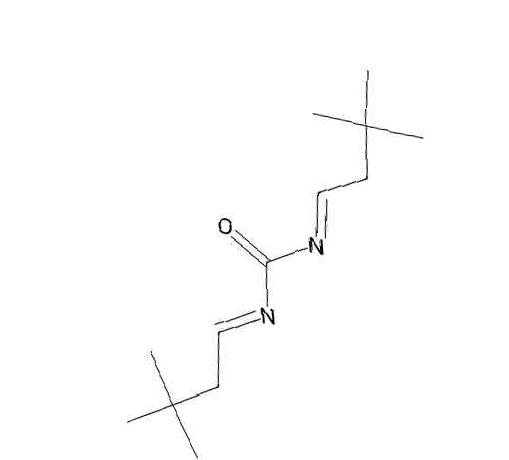 CC(C)(C)CC=NC(=O)N=CCC(C)(C)C